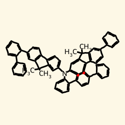 CC1(C)c2cc(-c3ccccc3)ccc2-c2ccc(N(c3ccc4c(c3)C(C)(C)c3cc(-c5ccccc5-c5ccccc5)ccc3-4)c3ccccc3-c3ccc(-c4ccccc4)cc3)cc21